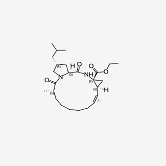 CCOC(=O)[C@@]12C[C@H]1/C=C\CCCCC[C@H](C)C(=O)N1C[C@H](CC(C)C)C[C@H]1C(=O)N2